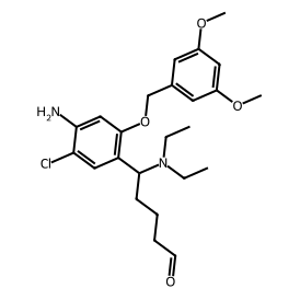 CCN(CC)C(CCCC=O)c1cc(Cl)c(N)cc1OCc1cc(OC)cc(OC)c1